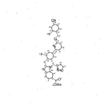 COC(=O)c1ccc2nc(Cc3ccc(-c4cccc(OCc5ccc(C#N)cc5F)n4)cc3F)n(Cc3ccon3)c2c1